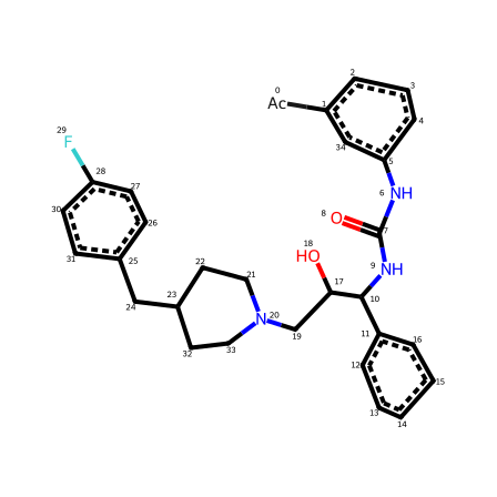 CC(=O)c1cccc(NC(=O)NC(c2ccccc2)C(O)CN2CCC(Cc3ccc(F)cc3)CC2)c1